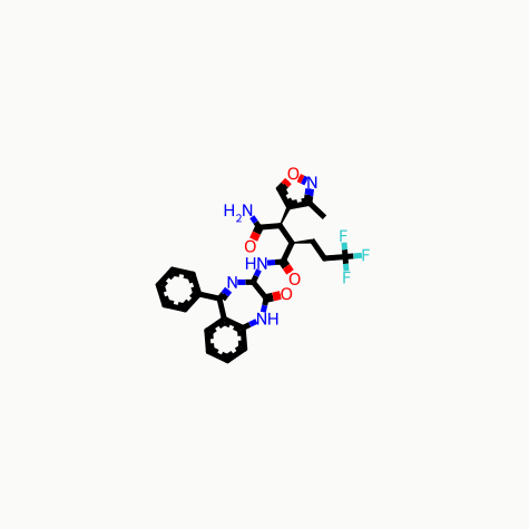 Cc1nocc1[C@H](C(N)=O)[C@@H](CCC(F)(F)F)C(=O)NC1N=C(c2ccccc2)c2ccccc2NC1=O